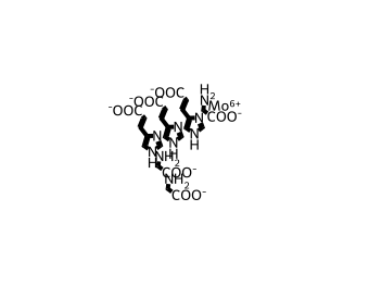 NCC(=O)[O-].NCC(=O)[O-].NCC(=O)[O-].O=C([O-])C=Cc1c[nH]cn1.O=C([O-])C=Cc1c[nH]cn1.O=C([O-])C=Cc1c[nH]cn1.[Mo+6]